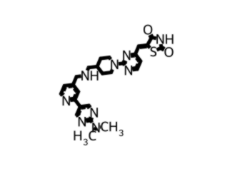 CN(C)c1ncc(-c2cc(CNCC3CCN(c4nccc(/C=C5\SC(=O)NC5=O)n4)CC3)ccn2)cn1